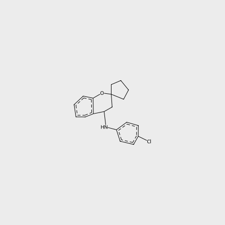 Clc1ccc(NC2CC3(CCCC3)Oc3ccccc32)cc1